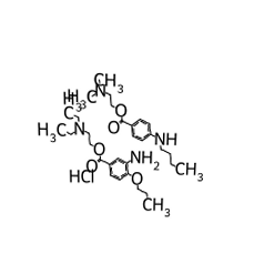 CCCCNc1ccc(C(=O)OCCN(C)C)cc1.CCCOc1ccc(C(=O)OCCN(CC)CC)cc1N.Cl